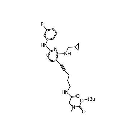 CN(CC(=O)NCCCC#Cc1cnc(Nc2cccc(F)c2)nc1NCC1CC1)C(=O)OC(C)(C)C